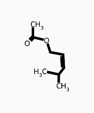 CC(=O)OC/C=C\C(C)C